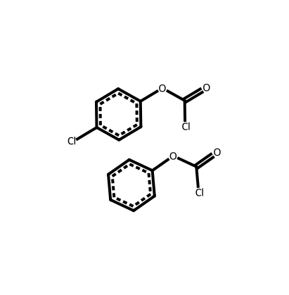 O=C(Cl)Oc1ccc(Cl)cc1.O=C(Cl)Oc1ccccc1